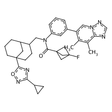 Cc1c(-c2cccc(N(CC3CCC4(c5nc(C6CC6)no5)CCCC3C4)C(=O)C34CC(F)(C3)C4)c2)cn2ncnc2c1C